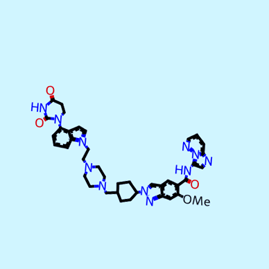 COc1cc2nn(C3CCC(CN4CCN(CCn5ccc6c(N7CCC(=O)NC7=O)cccc65)CC4)CC3)cc2cc1C(=O)Nc1cnc2cccnn12